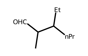 CCCC(CC)C(C)C=O